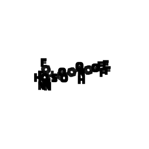 C[C@@H](SC1COC(c2ccc(C(=O)Nc3ccc(OCC(F)(F)C(F)F)cc3)cc2)OC1)[C@](O)(Cn1cncn1)c1ccc(F)cc1F